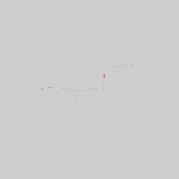 CCCC[CH2][Pt]([CH3])([CH3])([CH3])([CH3])([CH2]CCCC)[SiH2]O[SiH3]